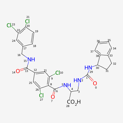 O=C(NCC(NC(=O)c1c(Cl)cc(C(=O)NCc2ccc(Cl)c(Cl)c2)cc1Cl)C(=O)O)NC1CCc2ccccc21